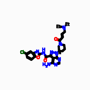 CCN(CC)CC=CC(=O)N1CCC[C@@H](n2nc(C(=O)Nc3nc4cc(Cl)ccc4o3)c3c(N)ncnc32)C1